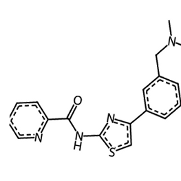 CN(C)Cc1cccc(-c2csc(NC(=O)c3ccccn3)n2)c1